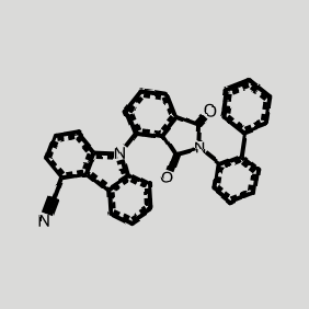 N#Cc1cccc2c1c1ccccc1n2-c1cccc2c1C(=O)N(c1ccccc1-c1ccccc1)C2=O